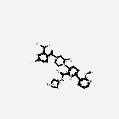 CCOc1ncccc1-c1ccc(N2CCN(C(=O)c3ccc(F)cc3C(F)F)C[C@H]2CC)c(C(=O)N[C@@H]2CCNC2)n1